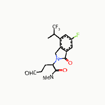 CNC(=O)C(CCC=O)N1Cc2c(cc(F)cc2C(C)C(F)(F)F)C1=O